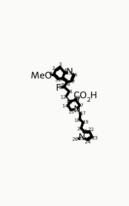 COc1ccc2nccc(C(F)CC[C@@H]3CCN(CCCCc4cccn4C)C[C@@H]3C(=O)O)c2c1